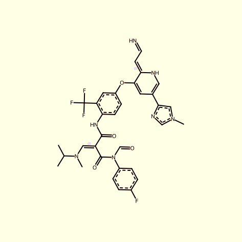 CC(C)N(C)/C=C(/C(=O)Nc1ccc(OC2=CC(c3cn(C)cn3)=CN/C2=C\C=N)cc1C(F)(F)F)C(=O)N(C=O)c1ccc(F)cc1